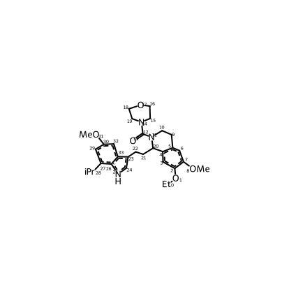 CCOc1cc2c(cc1OC)CCN(C(=O)N1CCOCC1)C2CCc1c[nH]c2c(C(C)C)cc(OC)cc12